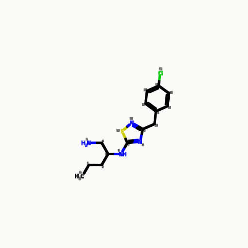 CCCC(CN)Nc1nc(Cc2ccc(Cl)cc2)ns1